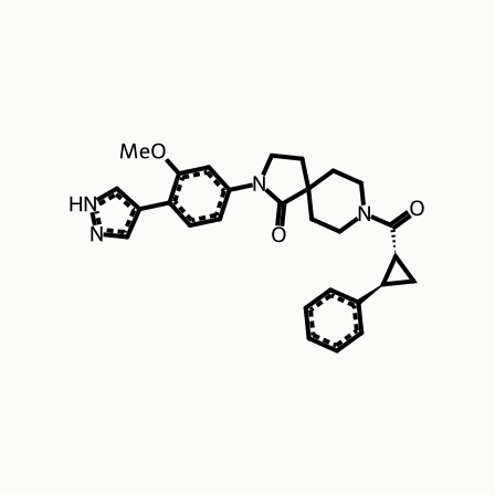 COc1cc(N2CCC3(CCN(C(=O)[C@@H]4C[C@H]4c4ccccc4)CC3)C2=O)ccc1-c1cn[nH]c1